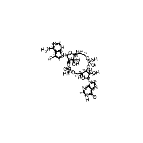 Nc1ncnc2c1c(F)cn2[C@@H]1O[C@@H]2CCOP(=O)(S)O[C@H]3[C@@H](O)[C@H](n4cnc5c(=O)[nH]cnc54)O[C@@H]3COP(=O)(S)O[C@@H]1[C@@H]2O